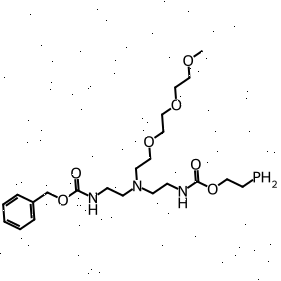 COCCOCCOCCN(CCNC(=O)OCCP)CCNC(=O)OCc1ccccc1